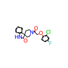 O=C(COc1ccc(F)cc1Cl)N1CCC2(CC1)C(=O)Nc1ccccc12